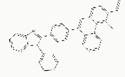 C/C=C\c1ccc2cc(-c3ccc(-c4nc5ccccc5n4-c4ccccc4)cc3)c3ccccc3c2c1C